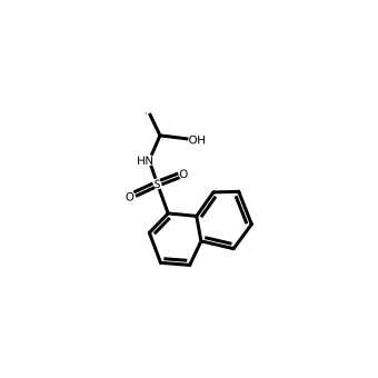 [CH2]C(O)NS(=O)(=O)c1cccc2ccccc12